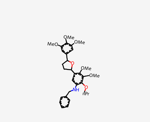 CCCOc1c(NCc2ccccc2)cc(C2CCC(c3cc(OC)c(OC)c(OC)c3)O2)c(OC)c1OC